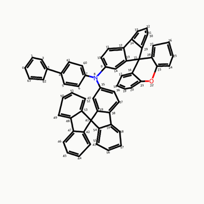 c1ccc(-c2ccc(N(c3ccc4c(c3)C3(c5ccccc5Oc5ccccc53)c3ccccc3-4)c3ccc4c(c3)C3(c5ccccc5-c5ccccc53)c3ccccc3-4)cc2)cc1